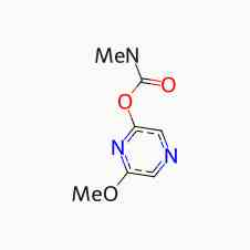 CNC(=O)Oc1cncc(OC)n1